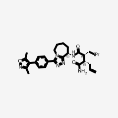 C=CC[C@H](C(N)=O)[C@@H](CC(C)C)C(=O)N[C@H]1CCCCn2c(-c3ccc(-c4c(C)noc4C)cc3)nnc21